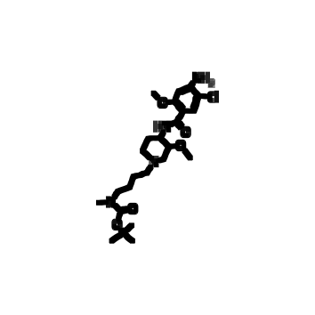 COc1cc(N)c(Cl)cc1C(=O)NC1CCN(CCCCN(C)C(=O)OC(C)(C)C)CC1OC